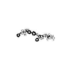 CC(C)(C)C(=O)OCOC(=O)C[C@@H]1C[C@@H](COc2ccc(-c3ccc(C(=N)NC(=O)OCc4ccccc4)cc3)cc2)N(c2ccccc2)C1=O